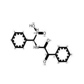 O=C(N[C@@H](c1ccccc1)[PH](=O)O)C(=O)c1ccccc1